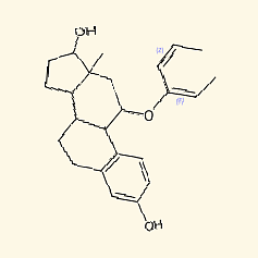 C/C=C\C(=C/C)OC1CC2(C)C(O)CCC2C2CCc3cc(O)ccc3C12